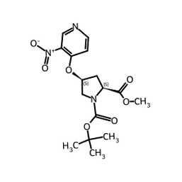 COC(=O)[C@@H]1C[C@H](Oc2ccncc2[N+](=O)[O-])CN1C(=O)OC(C)(C)C